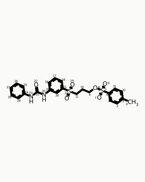 Cc1ccc(S(=O)(=O)OCCCS(=O)(=O)c2cccc(NC(=O)Nc3ccccc3)c2)cc1